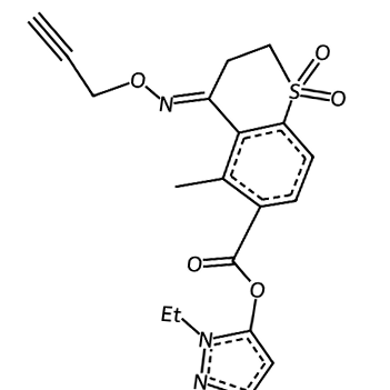 C#CCON=C1CCS(=O)(=O)c2ccc(C(=O)Oc3ccnn3CC)c(C)c21